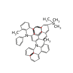 Cc1cccc(-c2ccccc2)c1N(c1ccccc1)c1cc(N(c2ccccc2)c2c(C)cccc2-c2ccccc2)c2ccc3cc([Si](C)(C)C)cc4ccc1c2c43